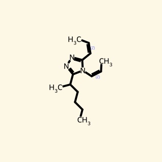 C/C=C\c1nnc(C(C)CCCC)n1/C=C\C